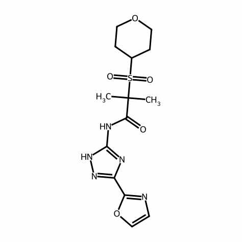 CC(C)(C(=O)Nc1nc(-c2ncco2)n[nH]1)S(=O)(=O)C1CCOCC1